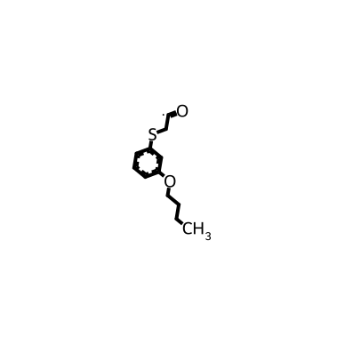 CCCCOc1cccc(SC[C]=O)c1